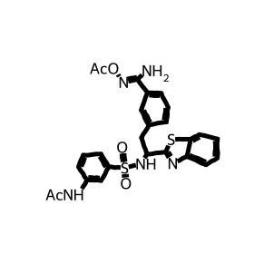 CC(=O)Nc1cccc(S(=O)(=O)NC(Cc2cccc(C(N)=NOC(C)=O)c2)c2nc3ccccc3s2)c1